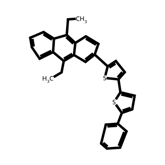 CCc1c2ccccc2c(CC)c2cc(-c3ccc(-c4ccc(-c5ccccc5)s4)s3)ccc12